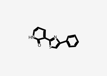 O=c1[nH]cccc1-c1nc(-c2ccccc2)cs1